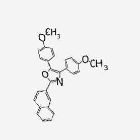 COc1ccc(-c2nc(-c3ccc4ccccc4c3)oc2-c2ccc(OC)cc2)cc1